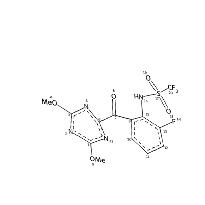 COc1nc(OC)nc(C(=O)c2cccc(F)c2NS(=O)(=O)C(F)(F)F)n1